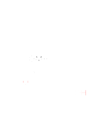 COC(=O)C1C(c2ccc(F)c(C)c2)=CC(O)CC1(C)C